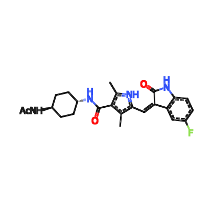 CC(=O)N[C@H]1CC[C@H](NC(=O)c2c(C)[nH]c(/C=C3\C(=O)Nc4ccc(F)cc43)c2C)CC1